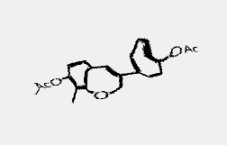 CC(=O)Oc1ccc(C2=Cc3ccc(OC(C)=O)c(C)c3OC2)cc1